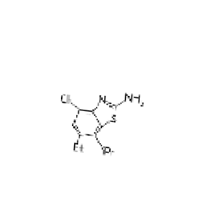 CCc1cc(Cl)c2nc(N)sc2c1C(C)C